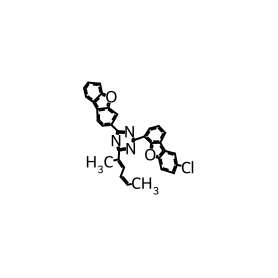 C/C=C\C=C(/C)c1nc(-c2ccc3c(c2)oc2ccccc23)nc(-c2cccc3c2oc2ccc(Cl)cc23)n1